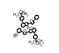 CC(C)(C)c1ccc(-c2cccc3c2C=C(c2ccc(-c4ccccc4)o2)[CH]3[Zr+2][CH]2C(c3ccc(-c4ccccc4)o3)=Cc3c(-c4ccc(C(C)(C)C)cc4)cccc32)cc1.[Cl-].[Cl-]